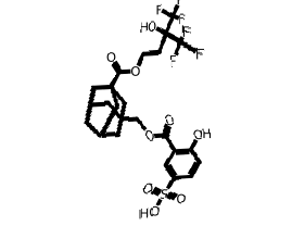 O=C(OCC12CC3CC(C1)CC(C(=O)OCCC(O)(C(F)(F)F)C(F)(F)F)(C3)C2)c1cc(S(=O)(=O)O)ccc1O